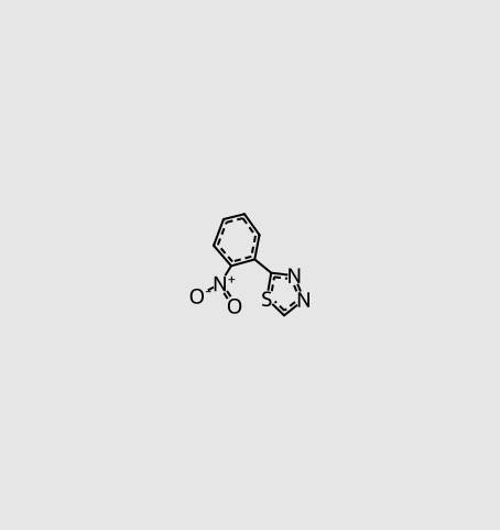 O=[N+]([O-])c1ccccc1-c1nncs1